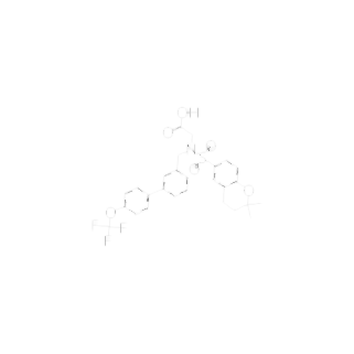 CC1(C)CCc2cc(S(=O)(=O)N(CC(=O)O)Cc3cccc(-c4ccc(OC(F)(F)F)cc4)c3)ccc2O1